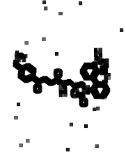 CC(C)Cc1ccc(C(=O)CCC(=O)NC[C@H]2CN(c3cccc(F)c3-c3cccc4[nH]nnc34)C(=O)O2)cc1